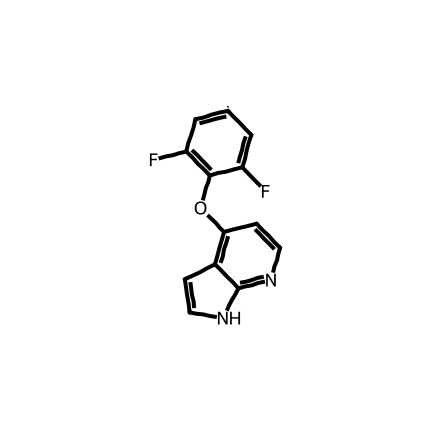 Fc1c[c]cc(F)c1Oc1ccnc2[nH]ccc12